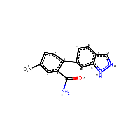 NC(=O)c1cc([N+](=O)[O-])ccc1-c1ccc2cn[nH]c2c1